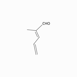 C=CC=C(C)C=O